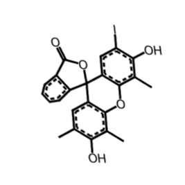 Cc1cc2c(c(C)c1O)Oc1c(cc(I)c(O)c1C)C21OC(=O)c2ccccc21